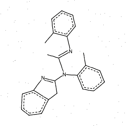 C/C(=N\c1ccccc1C)N(C1=Nc2ccccc2C1)c1ccccc1C